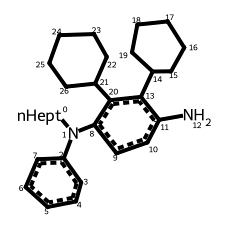 CCCCCCCN(c1ccccc1)c1ccc(N)c(C2CCCCC2)c1C1CCCCC1